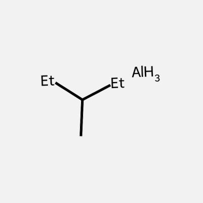 [AlH3].[CH2]CC(C)CC